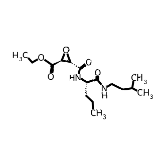 CCC[C@H](NC(=O)[C@H]1O[C@@H]1C(=O)OCC)C(=O)NCCC(C)C